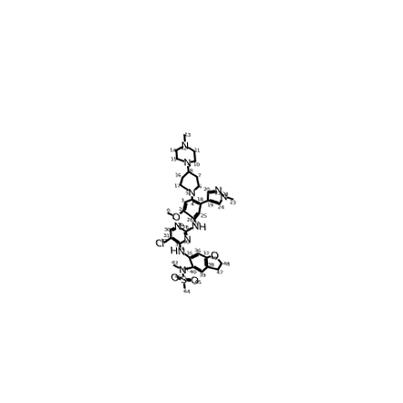 COc1cc(N2CCC(N3CCN(C)CC3)CC2)c(-c2cnn(C)c2)cc1Nc1ncc(Cl)c(Nc2cc3c(cc2N(C)S(C)(=O)=O)CCO3)n1